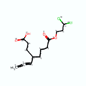 C=C=CC(CCCC(=O)OCCC(Cl)Cl)CCC(=O)O